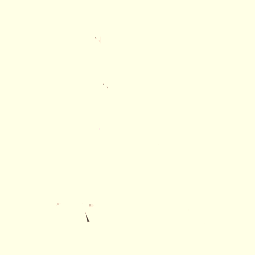 CS(=O)(=O)c1ccc(/C(=C\C2C[C@@H](F)[C@H](F)C2)C(=O)Nc2nccs2)cc1